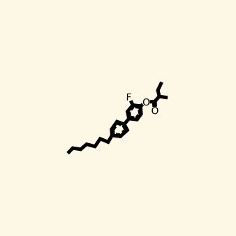 CCCCCCCc1ccc(-c2ccc(OC(=O)C(C)CC)c(F)c2)cc1